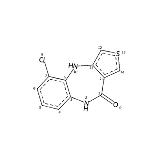 O=C1Nc2cccc(Cl)c2Nc2cscc21